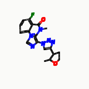 CC1OCCC1c1cn(C2=C3N(C)C(=O)c4c(F)cccc4[N+]3C=N2)nn1